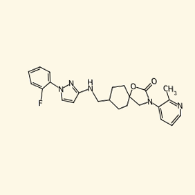 Cc1ncccc1N1CC2(CCC(CNc3ccn(-c4ccccc4F)n3)CC2)OC1=O